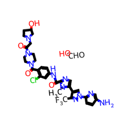 Cn1c(-c2cn(-c3ccc(N)cn3)nc2C(F)(F)F)cnc1C(=O)Nc1ccc(C(=O)N2CCN(C(=O)CN3CCC(O)C3)CC2)c(Cl)c1.O=CO